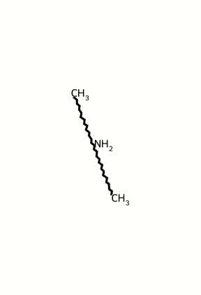 CCCCCCCCCCCCCCCCC(N)CCCCCCCCCCCCCCCC